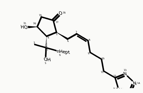 CCCCCCCC(C)(O)[C@H]1[C@H](C/C=C\CCCc2nnn[nH]2)C(=O)C[C@@H]1O